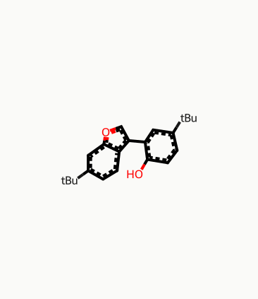 CC(C)(C)c1ccc(O)c(-c2coc3cc(C(C)(C)C)ccc23)c1